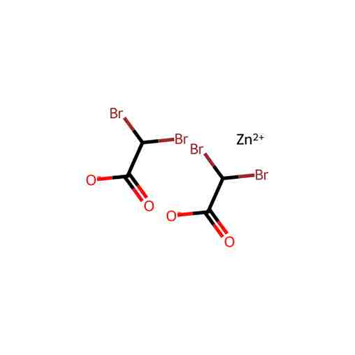 O=C([O-])C(Br)Br.O=C([O-])C(Br)Br.[Zn+2]